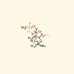 B[C@@H]1O[C@]2(COP(C)(=S)SC2)[C@H](C)C1O[Si](C)(C)C(C)(C)C